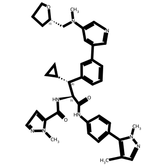 Cc1cnn(C)c1-c1ccc(NC(=O)[C@@H](NC(=O)c2ccnn2C)[C@@H](c2cccc(-c3cncc(N(C)C[C@@H]4CCCO4)c3)c2)C2CC2)cc1